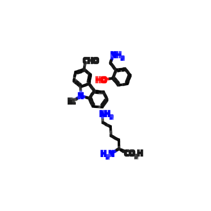 CCn1c2ccccc2c2cc(C=O)ccc21.NCCCC[C@H](N)C(=O)O.NCc1ccccc1O